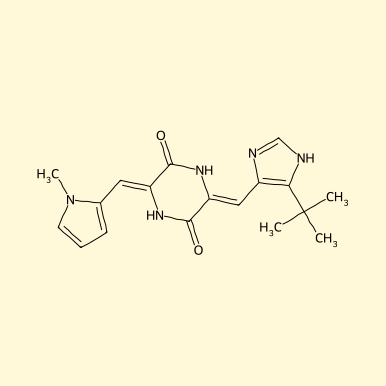 Cn1cccc1/C=c1\[nH]c(=O)/c(=C/c2nc[nH]c2C(C)(C)C)[nH]c1=O